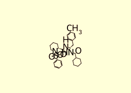 Cc1ccc(C[C@@H](NC(=O)C2CCCCC2)NC(=O)[C@@H]2CCCCN2S(=O)(=O)c2ccccc2)cc1